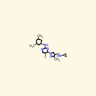 Cc1cc(C)cc(Nc2ncc(F)c(-n3cc(CNC4CC4)c(C)n3)n2)c1